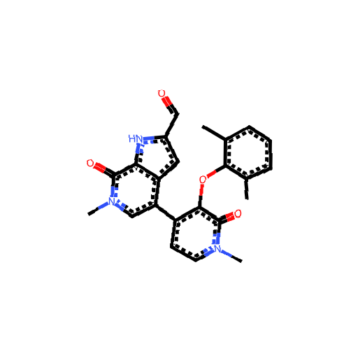 Cc1cccc(C)c1Oc1c(-c2cn(C)c(=O)c3[nH]c(C=O)cc23)ccn(C)c1=O